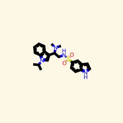 CC(C)n1cc(C(CNS(=O)(=O)c2ccc3[nH]ccc3c2)N(C)C)c2ccccc21